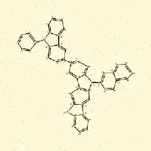 c1ccc(-n2c3ccccc3c3cc(-c4ccc5c(c4)c4cc6sc7ccccc7c6cc4n5-c4ccc5ccccc5c4)ccc32)cc1